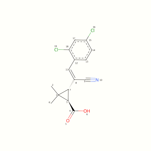 CC1(C)[C@H](C(=O)O)[C@H]1/C(C#N)=C/c1ccc(Cl)cc1Cl